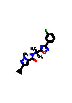 Cn1nc(C2CC2)cc1C(=O)NC(C)(C)c1nc(-c2cccc(F)c2)no1